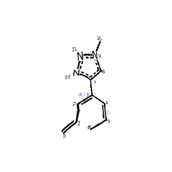 C=C/C=C(\C=C/C)c1cn(C)nn1